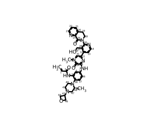 C=CC(=O)Nc1cc(Nc2nc(-c3ccnc(N4CCc5cccnc5C4=O)c3CO)cn(C)c2=O)ccc1N1CCN(C2COC2)C[C@@H]1C